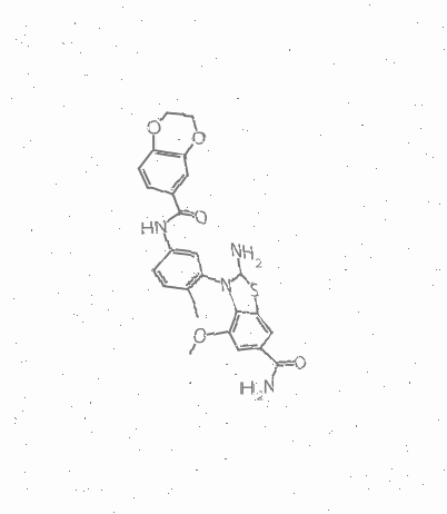 COc1cc(C(N)=O)cc2c1N(c1cc(NC(=O)c3ccc4c(c3)OCCO4)ccc1C)C(N)S2